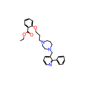 CCOC(=O)c1ccccc1OCCCN1CCCN(Cc2cccnc2-c2ccccc2)CC1